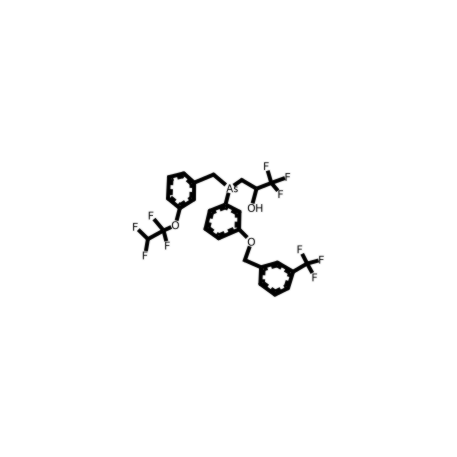 OC(C[As](Cc1cccc(OC(F)(F)C(F)F)c1)c1cccc(OCc2cccc(C(F)(F)F)c2)c1)C(F)(F)F